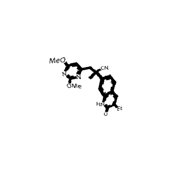 CCc1cc2ccc(C(C)(C#N)Cc3cc(OC)nc(OC)n3)cc2[nH]c1=O